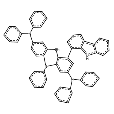 B1c2cc(N(c3ccccc3)c3ccccc3)ccc2N(c2ccccc2)c2cc(N(c3ccccc3)c3ccccc3)cc(-c3cccc4c3[nH]c3ccccc34)c21